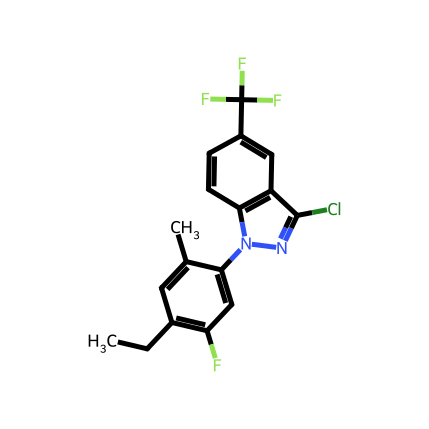 CCc1cc(C)c(-n2nc(Cl)c3cc(C(F)(F)F)ccc32)cc1F